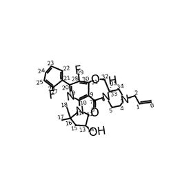 C=CCN1CCN2C(=O)c3c(N4C[C@@H](O)CC4(C)C)nc(-c4ccccc4F)c(F)c3OC[C@H]2C1